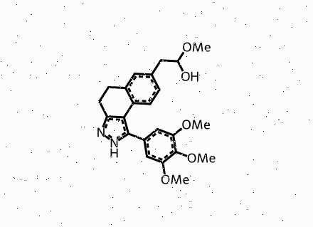 COc1cc(-c2[nH]nc3c2-c2ccc(CC(O)OC)cc2CC3)cc(OC)c1OC